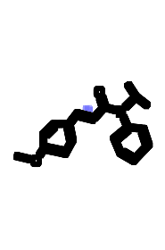 COc1ccc(/C=C/C(=O)N(c2ccccc2)C(C)C)cc1